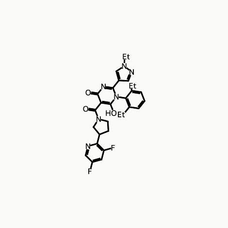 CCc1cccc(CC)c1-n1c(-c2cnn(CC)c2)nc(=O)c(C(=O)N2CCC(c3ncc(F)cc3F)C2)c1O